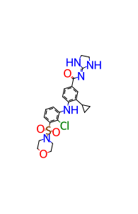 O=C(N=C1NCCN1)c1ccc(Nc2cccc(S(=O)(=O)N3CCOCC3)c2Cl)c(C2CC2)c1